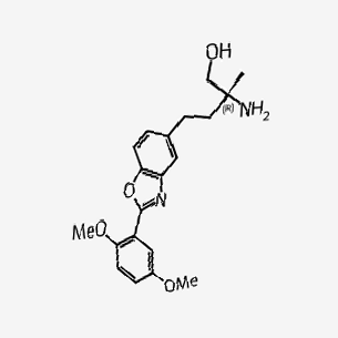 COc1ccc(OC)c(-c2nc3cc(CC[C@@](C)(N)CO)ccc3o2)c1